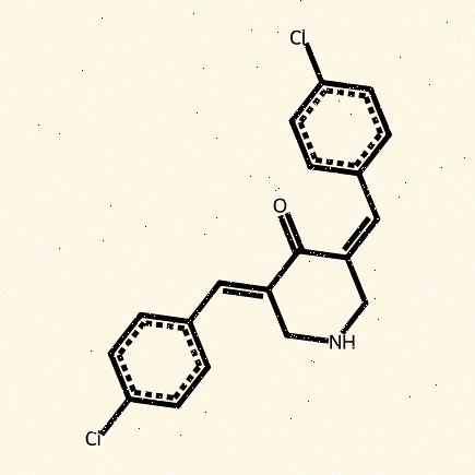 O=C1/C(=C\c2ccc(Cl)cc2)CNC/C1=C\c1ccc(Cl)cc1